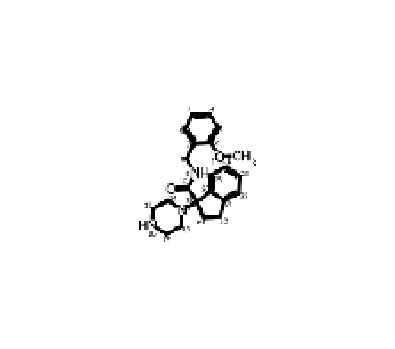 COc1ccccc1CNC(=O)C1(N2CCNCC2)CCc2ccccc21